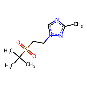 Cc1ncn(CCS(=O)(=O)C(C)(C)C)n1